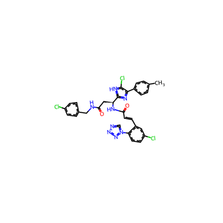 Cc1ccc(-c2nc([C@H](CC(=O)NCc3ccc(Cl)cc3)NC(=O)/C=C/c3cc(Cl)ccc3-n3cnnn3)[nH]c2Cl)cc1